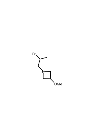 COC1CN(CC(C)C(C)C)C1